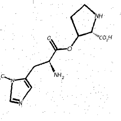 Cn1cncc1C[C@H](N)C(=O)OC1CCN[C@@H]1C(=O)O